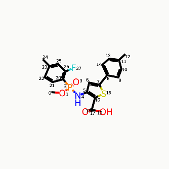 COP(=O)(Nc1cc(-c2ccc(C)cc2)sc1C(=O)O)c1ccc(C)cc1F